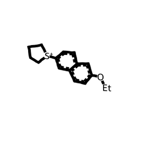 CCOc1ccc2cc([S+]3CCCC3)ccc2c1